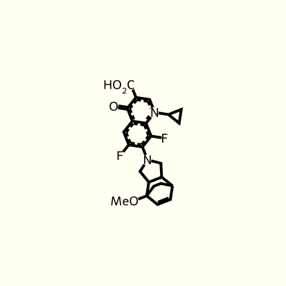 COC12C=CC(CC1)C1CN(c3c(F)cc4c(=O)c(C(=O)O)cn(C5CC5)c4c3F)CC12